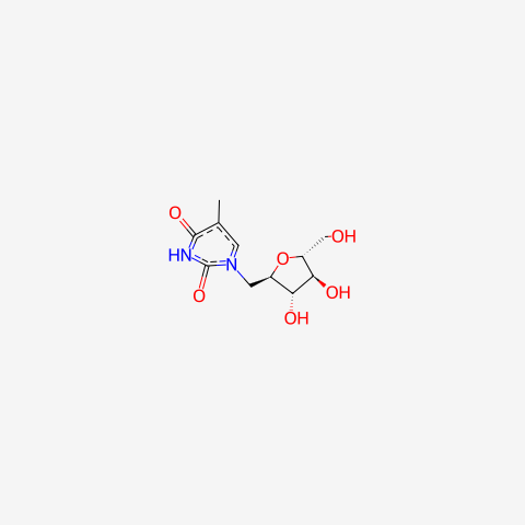 Cc1cn(C[C@H]2O[C@H](CO)[C@@H](O)[C@@H]2O)c(=O)[nH]c1=O